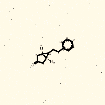 O=C1C[C@@H]2C(CCc3ccccc3)[C@@H]2C1